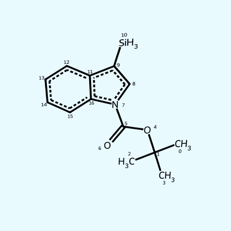 CC(C)(C)OC(=O)n1cc([SiH3])c2ccccc21